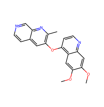 COc1cc2nccc(Oc3cc4ccncc4nc3C)c2cc1OC